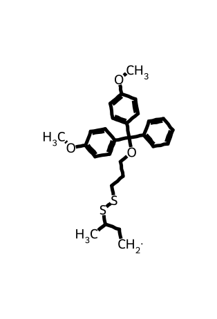 [CH2]CC(C)SSCCCOC(c1ccccc1)(c1ccc(OC)cc1)c1ccc(OC)cc1